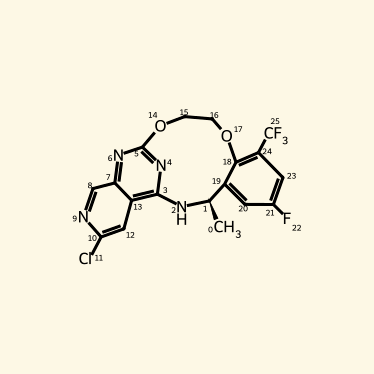 C[C@H]1Nc2nc(nc3cnc(Cl)cc23)OCCOc2c1cc(F)cc2C(F)(F)F